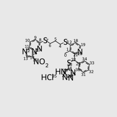 Cc1c(SCCCSc2ccc3ncc([N+](=O)[O-])n3n2)ccnc1C(Sc1nnn[nH]1)c1ccccc1.Cl